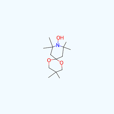 CC1(C)COC2(CC(C)(C)N(O)C(C)(C)C2)OC1